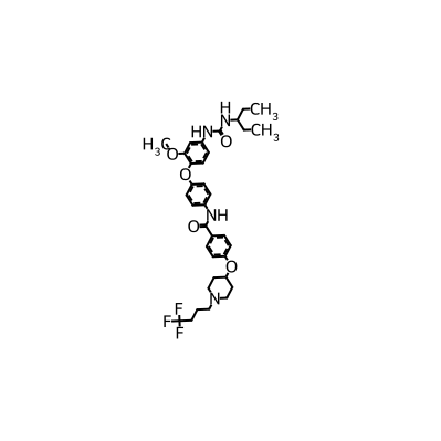 CCC(CC)NC(=O)Nc1ccc(Oc2ccc(NC(=O)c3ccc(OC4CCN(CCCC(F)(F)F)CC4)cc3)cc2)c(OC)c1